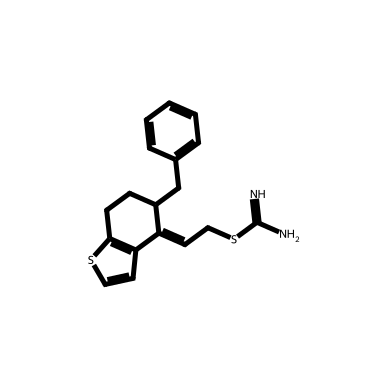 N=C(N)SC/C=C1/c2ccsc2CCC1Cc1ccccc1